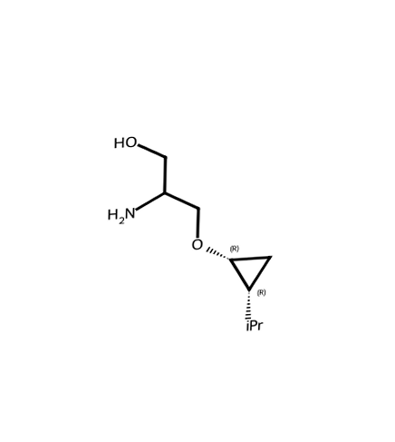 CC(C)[C@H]1C[C@H]1OCC(N)CO